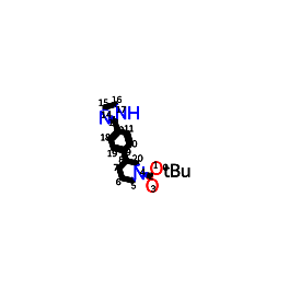 CC(C)(C)OC(=O)N1CCCC(c2ccc(C3=NCCN3)cc2)C1